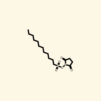 CCCCCCCCCCCCS(=O)(=O)ON1C(=O)CCC1=O